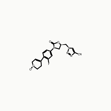 N#Cc1cn(C[C@H]2CN(c3ccc(C4=CC[S+]([O-])CC4)c(F)c3)C(=O)O2)nn1